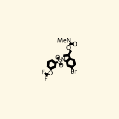 CNC(=O)OCc1cn(S(=O)(=O)c2cccc(OC(F)F)c2)c2cc(Br)ccc12